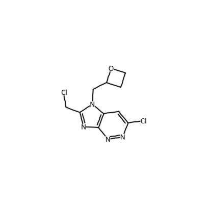 ClCc1nc2nnc(Cl)cc2n1CC1CCO1